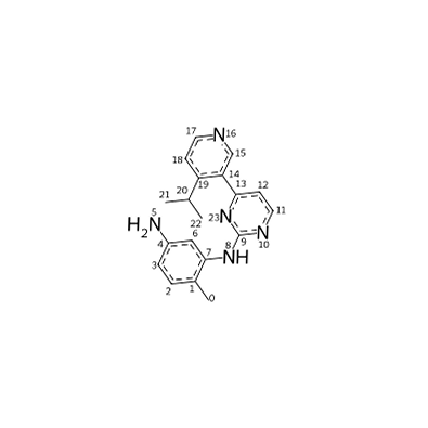 Cc1ccc(N)cc1Nc1nccc(-c2cnccc2C(C)C)n1